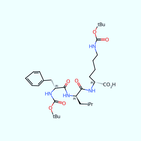 CC(C)C[C@@H](NC(=O)[C@@H](Cc1ccccc1)NC(=O)OC(C)(C)C)C(=O)N[C@H](CCCCNC(=O)OC(C)(C)C)C(=O)O